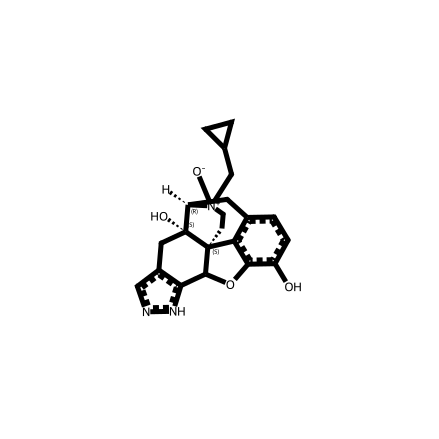 [O-][N+]1(CC2CC2)CC[C@]23c4c5ccc(O)c4OC2c2[nH]ncc2C[C@@]3(O)[C@H]1C5